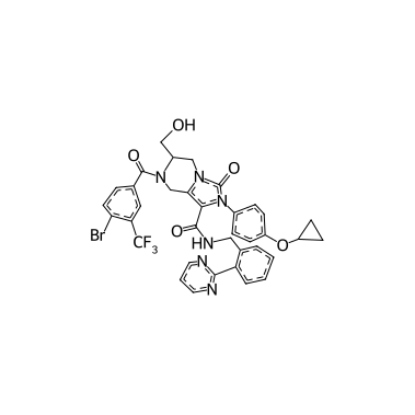 O=C(NCc1ccccc1-c1ncccn1)c1c2n(c(=O)n1-c1ccc(OC3CC3)cc1)CC(CO)N(C(=O)c1ccc(Br)c(C(F)(F)F)c1)C2